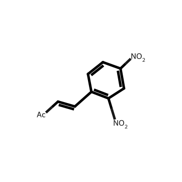 CC(=O)C=Cc1ccc([N+](=O)[O-])cc1[N+](=O)[O-]